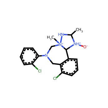 CC1N[N+]2(C)CN(c3ccccc3Cl)Cc3c(Cl)cccc3C2[NH+]1[O-]